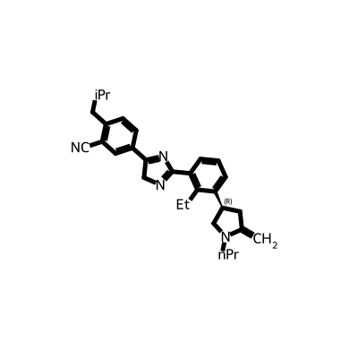 C=C1C[C@H](c2cccc(C3=NCC(c4ccc(CC(C)C)c(C#N)c4)=N3)c2CC)CN1CCC